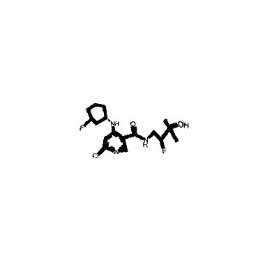 CC(C)(O)C(F)CNC(=O)c1cnc(Cl)cc1N[C@H]1CCCC(F)C1